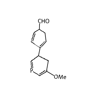 COC1=CP=CC(C2=CCC(C=O)C=C2)C1